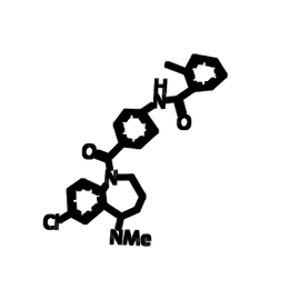 CNC1CCCN(C(=O)c2ccc(NC(=O)c3ccccc3C)cc2)c2ccc(Cl)cc21